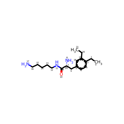 CCc1ccc(C[C@@H](N)C(=O)NCCCCCN)cc1CC